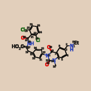 CCNCc1ccc2c(c1)c(=O)n(-c1ccc(C[C@H](NC(=O)c3c(Cl)cccc3Cl)C(=O)O)cc1)c(=O)n2C